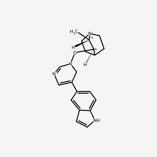 C[C@H]1[C@H](ON2C=NC=C(c3ccc4[nH]ccc4c3)C2)C2CCN1CC2